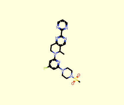 CC1c2cnc(-c3ncccn3)nc2CCN1c1cc(F)cc(N2CCN(S(C)(=O)=O)CC2)n1